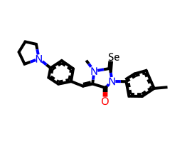 Cc1ccc(N2C(=O)C(=Cc3ccc(N4CCCC4)cc3)N(C)C2=[Se])cc1